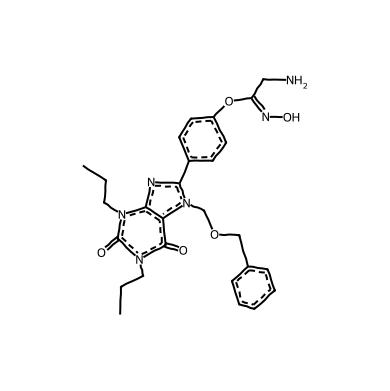 CCCn1c(=O)c2c(nc(-c3ccc(OC(CN)=NO)cc3)n2COCc2ccccc2)n(CCC)c1=O